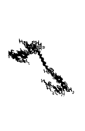 CNCC(C)OC(=O)Nc1cc(-c2ccc3nc(NC(=O)CCCCCCCCCCC(=O)N[C@H](C(=O)N4C[C@H](O)C[C@H]4C(=O)NCc4ccc(-c5scnc5C)cc4)C(C)(C)C)sc3c2)cnc1C